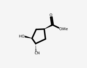 COC(=O)[C@@H]1C[C@H](O)[C@@H](C#N)C1